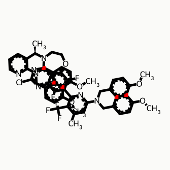 COc1ccc(CN(Cc2ccc(OC)cc2)c2cc(C)c(C(F)(F)F)c(-c3c(F)c4c5c(nc(Cl)nc5c3F)N([C@H](C)c3cccnc3N(Cc3ccc(OC)cc3)Cc3ccc(OC)cc3)CCO4)n2)cc1